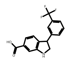 O=C(O)c1ccc2c(c1)NCC2c1cccc(C(F)(F)F)c1